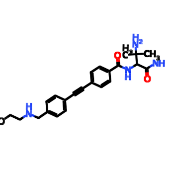 COCCNCc1ccc(C#Cc2ccc(C(=O)NC(C(N)=O)C(C)(C)N)cc2)cc1